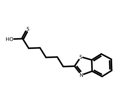 OC(=S)CCCCCc1nc2ccccc2s1